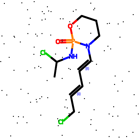 CC(Cl)NP1(=O)OCCCN1/C=C/C=C/CCl